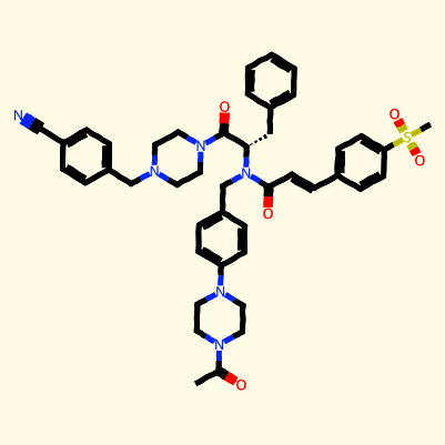 CC(=O)N1CCN(c2ccc(CN(C(=O)/C=C/c3ccc(S(C)(=O)=O)cc3)[C@@H](Cc3ccccc3)C(=O)N3CCN(Cc4ccc(C#N)cc4)CC3)cc2)CC1